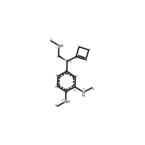 CNC[C@@H](C1=CCC1)c1ccc(NC)c(NC)c1